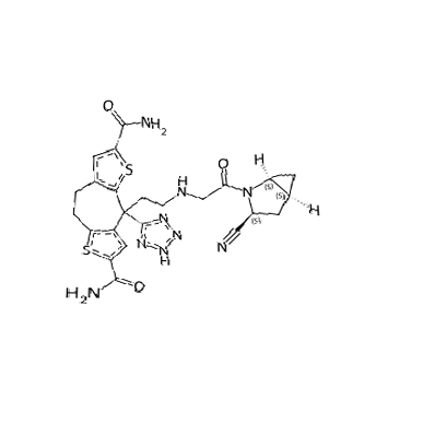 N#C[C@@H]1C[C@@H]2C[C@@H]2N1C(=O)CNCCC1(c2nn[nH]n2)c2cc(C(N)=O)sc2CCc2cc(C(N)=O)sc21